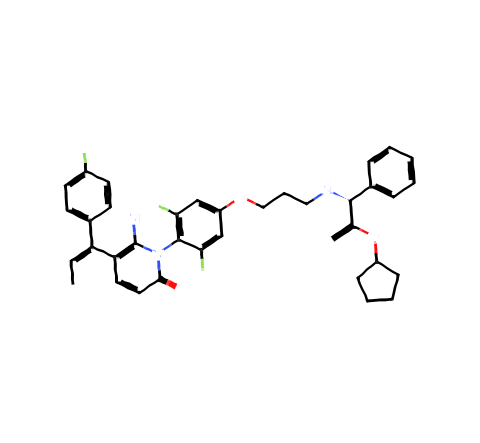 C=C(OC1CCCC1)[C@@H](NCCCOc1cc(F)c(-n2c(N)c(/C(=C\C)c3ccc(F)cc3)ccc2=O)c(F)c1)c1ccccc1